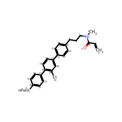 C=CC(=O)N(C)CCCc1ccc(-c2ccc(-c3ccc(CCCCC)cc3)c(CC)c2)cc1